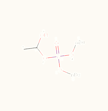 CCCCOP(=O)(OCCCC)OC(C)O